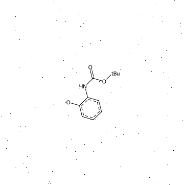 CC(C)(C)OC(=O)Nc1ccccc1[O]